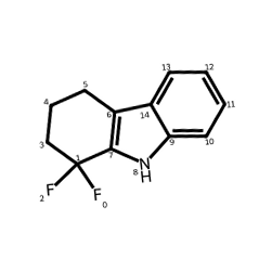 FC1(F)CCCc2c1[nH]c1ccccc21